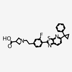 O=C(O)C1CN(CCc2ccc(-c3nc4ccc(C5(c6ccccc6)CC5)nc4s3)c(F)c2)C1